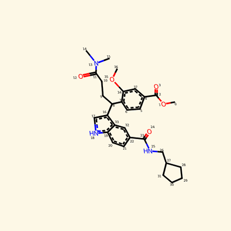 COC(=O)c1ccc(C(CCC(=O)N(C)C)c2c[nH]c3ccc(C(=O)NCC4CCCC4)cc23)c(OC)c1